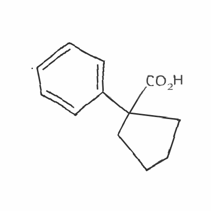 O=C(O)C1(c2cc[c]cc2)CCCC1